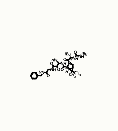 CCCC(NC(=O)[C@@H]1[C@@H]2C(CN1C(=O)[C@@H](NC(=O)NC(C)(C)C)C(C)(C)C)C2(C)C)C(=O)C(=O)NCC(=O)NCc1ccccc1